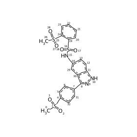 CS(=O)(=O)c1ccc(-c2n[nH]c3ccc(NS(=O)(=O)c4ccccc4S(C)(=O)=O)cc23)cc1